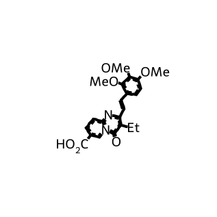 CCc1c(/C=C/c2ccc(OC)c(OC)c2OC)nc2ccc(C(=O)O)cn2c1=O